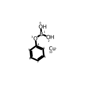 OB(O)Oc1ccccc1.[Cu]